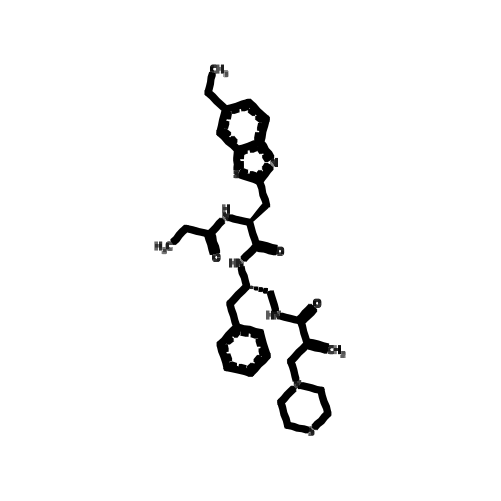 C=C(CN1CCSCC1)C(=O)NC[C@H](Cc1ccccc1)NC(=O)[C@H](Cc1nc2ccc(CC)cc2s1)NC(=O)CC